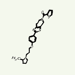 CC1CCCN1CCCOc1ccc(-c2nc3c(s2)CN(C(=O)c2cccs2)CC3)cc1